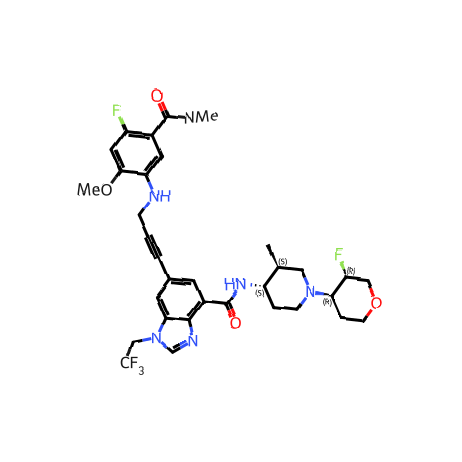 CNC(=O)c1cc(NCC#Cc2cc(C(=O)N[C@H]3CCN([C@@H]4CCOC[C@@H]4F)C[C@@H]3C)c3ncn(CC(F)(F)F)c3c2)c(OC)cc1F